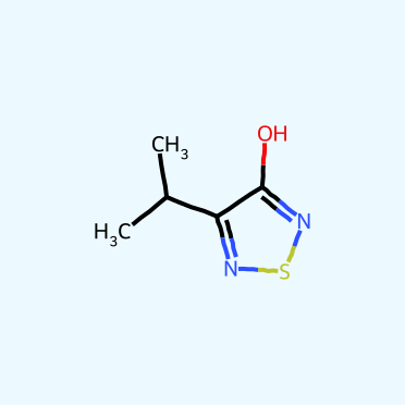 CC(C)c1nsnc1O